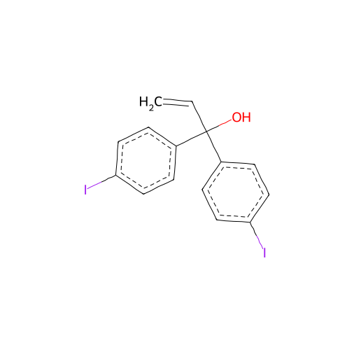 C=CC(O)(c1ccc(I)cc1)c1ccc(I)cc1